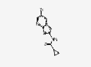 O=C(Nc1cn2cc(Br)cnc2n1)C1CC1